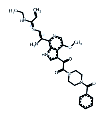 C=C/C(=N\C=C(/N)c1ncc(OC)c2c(C(=O)C(=O)N3CCN(C(=O)c4ccccc4)CC3)c[nH]c12)NCC